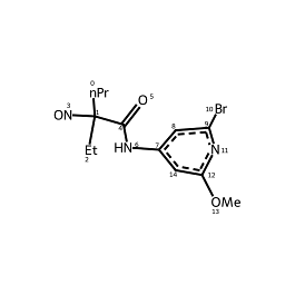 CCCC(CC)(N=O)C(=O)Nc1cc(Br)nc(OC)c1